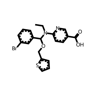 CCN(c1ccc(C(=O)O)cn1)C(OCc1cccs1)c1cccc(Br)c1